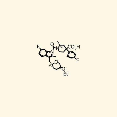 CCO[C@H]1CC[C@H](Cc2c(C)n(C(=O)N3CC[C@@](C(=O)O)(c4ccc(F)cc4)C[C@@H]3C)c3cc(F)ccc23)OC1